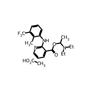 CC(=O)O.CCN(CC)C(C)OC(=O)c1cccnc1Nc1cccc(C(F)(F)F)c1C